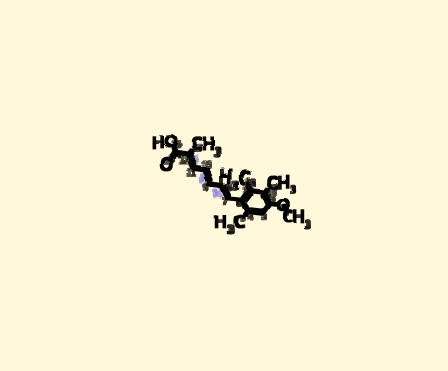 COc1cc(C)c(/C=C/C=C/C=C(\C)C(=O)O)c(C)c1C